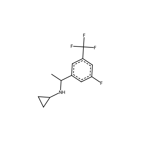 CC(NC1CC1)c1cc(F)cc(C(F)(F)F)c1